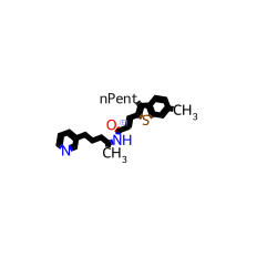 CCCCCc1c(/C=C/C(=O)NC(C)CCCc2cccnc2)sc2cc(C)ccc12